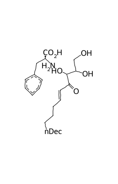 CCCCCCCCCCCCCC=CC(=O)C(O)C(O)CO.N[C@@H](Cc1ccccc1)C(=O)O